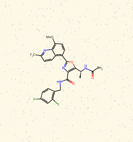 BC(=O)N[C@@H](C)c1oc(-c2ccc(OC)c3nc(C(F)(F)F)ccc23)nc1C(=O)NCc1ccc(F)cc1F